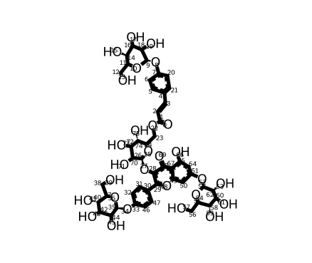 O=C(/C=C/c1ccc(O[C@@H]2OC(CO)[C@@H](O)C(O)C2O)cc1)OCC1O[C@@H](Oc2c(-c3ccc(O[C@@H]4OC(CO)[C@@H](O)C(O)C4O)cc3)oc3cc(O[C@@H]4OC(CO)[C@@H](O)C(O)[C@@H]4O)cc(O)c3c2=O)C(O)C(O)[C@@H]1O